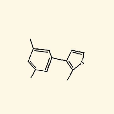 Cc1cc(C)cc(-c2ccsc2C)c1